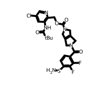 CC(C)(C)C(=O)Nc1cc(Cl)cnc1COC(=O)N1CC2=C(C1)CN(C(=O)c1ccc(SN)c(F)c1F)C2